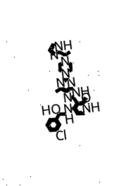 Cc1nc(N2CCN(C(C)c3ncc[nH]3)CC2)nc2[nH]c(-c3c(NCC(O)c4cccc(Cl)c4)cc[nH]c3=O)nc12